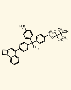 Bc1ccc(C(C)(c2ccc(BOC(C)(C)C(C)(C)O)cc2)c2ccc(-c3cc4c(c5ccccc35)CC4)cc2)cc1